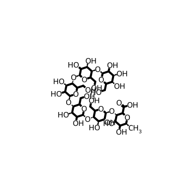 C[C@@H]1OC(C(=O)O)[C@@H](O[C@@H]2OC(CO)[C@@H](O[C@@H]3OC(CO)[C@@H](O[C@@H]4OC(CO)[C@@H](O[C@@H]5OC(CO)[C@H](O[C@@H]6OC(CO)[C@H](O)[C@H](O)C6O)[C@H](O)C5O)[C@H](O)C4O)[C@H](O)C3O)[C@H](O)C2O)[C@H](O)C1O